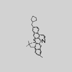 Cc1ccc2c(CC(C)(C)C)c3c(cc2c1)-c1nccc2c1c(cc1cc(CC4CCCC4)ccc12)S3